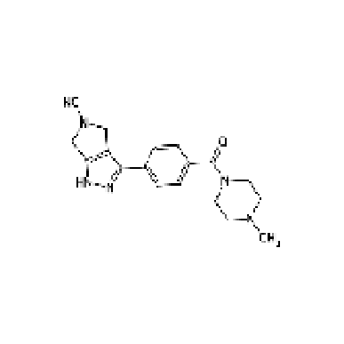 CN1CCN(C(=O)c2ccc(-c3n[nH]c4c3CN(C#N)C4)cc2)CC1